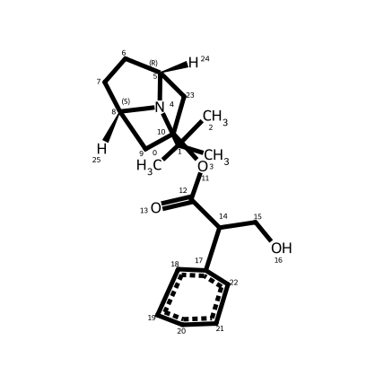 CC(C)(C)N1[C@@H]2CC[C@H]1CC(OC(=O)C(CO)c1ccccc1)C2